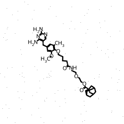 COc1cc(Cc2cnc(N)nc2N)cc(C)c1OCCCCC(=O)NCCOCCOC(=O)C12CC3CC(CC(C3)C1)C2